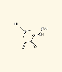 C=CC(=O)ONCCCC.CN(C)C.I